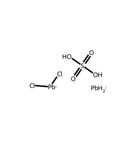 O=S(=O)(O)O.[Cl][Pb][Cl].[PbH2]